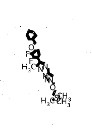 Cc1nn(Cc2cn(COCC[Si](C)(C)C)nn2)cc1-c1ccc(OCc2ccccc2)c(F)c1F